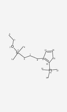 CCO[Si](C)(C)CCCC1=[C]([Pt]([CH3])([CH3])[CH3])CC=C1